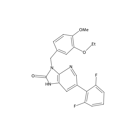 CCOc1cc(Cn2c(=O)[nH]c3cc(-c4c(F)cccc4F)cnc32)ccc1OC